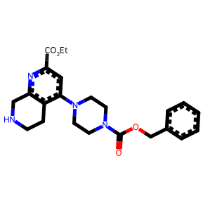 CCOC(=O)c1cc(N2CCN(C(=O)OCc3ccccc3)CC2)c2c(n1)CNCC2